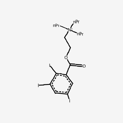 CCC[N+](CCC)(CCC)CCOC(=O)c1cc(I)cc(I)c1I